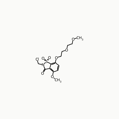 COCCOCCOc1ccc(OC)c2c1S(=O)(=O)N(CCl)C2=O